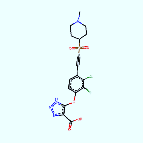 CN1CCC(S(=O)(=O)C#Cc2ccc(Oc3[nH]nnc3C(=O)O)c(F)c2Cl)CC1